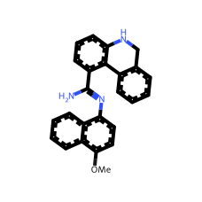 COc1ccc(N=C(N)c2cccc3c2-c2ccccc2CN3)c2ccccc12